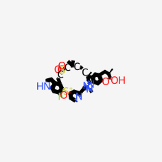 C[C@H](Cc1cccc([C@@]2(C)CCCC(C)(C)CS(=O)(=O)CCc3c(c(F)cc4[nH]ccc34)[S+]([O-])c3ccnc(c3)-c3nc2nn3C)c1)C(=O)O